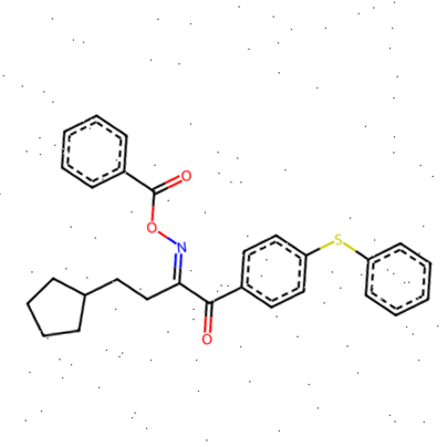 O=C(ON=C(CCC1CCCC1)C(=O)c1ccc(Sc2ccccc2)cc1)c1ccccc1